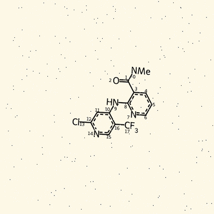 CNC(=O)c1cccnc1Nc1cc(Cl)ncc1C(F)(F)F